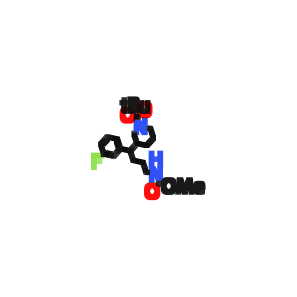 COC(=O)NCCCC(c1cccc(F)c1)C1CCCN(C(=O)OC(C)(C)C)C1